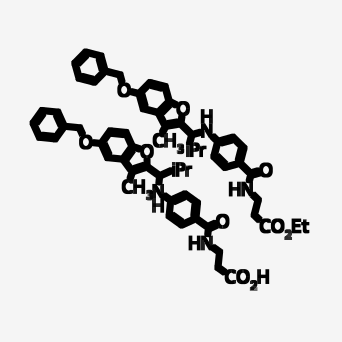 CCOC(=O)CCNC(=O)c1ccc(NC(c2oc3ccc(OCc4ccccc4)cc3c2C)C(C)C)cc1.Cc1c(C(Nc2ccc(C(=O)NCCC(=O)O)cc2)C(C)C)oc2ccc(OCc3ccccc3)cc12